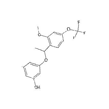 COc1cc(OC(F)(F)F)ccc1C(C)Oc1c[c]cc(O)c1